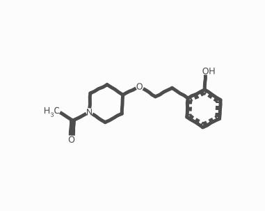 CC(=O)N1CCC(OCCc2ccccc2O)CC1